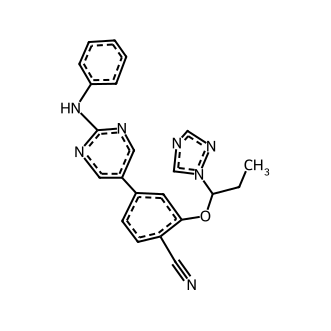 CCC(Oc1cc(-c2cnc(Nc3ccccc3)nc2)ccc1C#N)n1cncn1